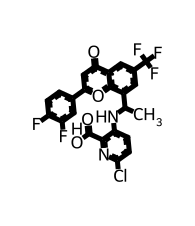 CC(Nc1ccc(Cl)nc1C(=O)O)c1cc(C(F)(F)F)cc2c(=O)cc(-c3ccc(F)c(F)c3)oc12